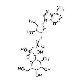 Nc1ncnc2c1ncn2[C@@H]1O[C@H](COP(=O)(O)CP(=O)(O)OC2O[C@H](CO)[C@@H](O)[C@H](O)[C@@H]2O)[C@@H](O)[C@H]1O